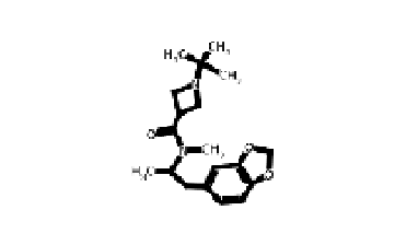 CC(Cc1ccc2c(c1)OCO2)N(C)C(=O)C1CN(C(C)(C)C)C1